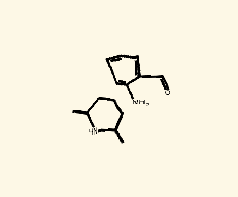 CC1CCCC(C)N1.Nc1ccccc1C=O